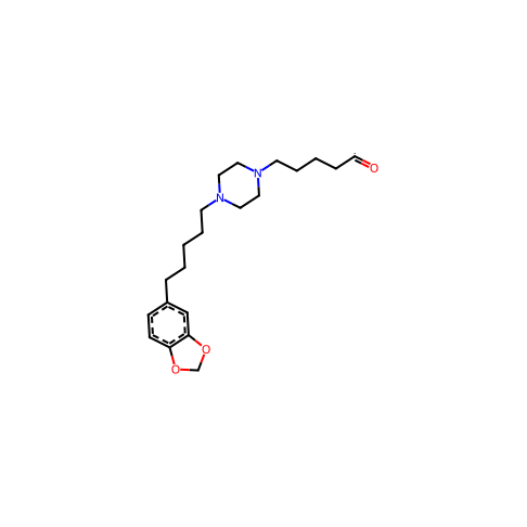 O=[C]CCCCN1CCN(CCCCCc2ccc3c(c2)OCO3)CC1